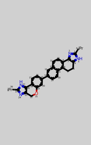 CC(C)c1nc2c([nH]1)CCc1c-2ccc2cc(-c3ccc4c(c3)OCc3nc(C(C)C)[nH]c3-4)ccc12